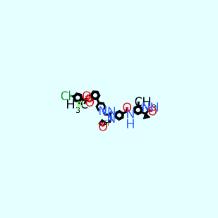 Cc1cc(NC(=O)c2ccc3c(c2)nc(CN2CC=C(c4cccc5c4OC(C)(c4ccc(Cl)cc4F)O5)CC2)n3C[C@@H]2CCO2)cc2c1NC(=O)C21CC1